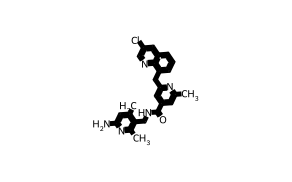 Cc1cc(C(=O)NCc2c(C)cc(N)nc2C)cc(Cc2cccc3cc(Cl)cnc23)n1